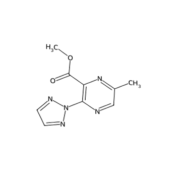 COC(=O)c1nc(C)cnc1-n1nccn1